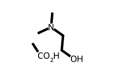 CC(=O)O.CN(C)CCO